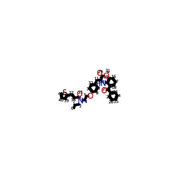 CCCN(CCOc1ccc(CC(Nc2ccccc2C(=O)c2ccccc2)C(=O)OC)cc1)C(=O)C=Cc1cccs1